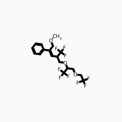 COCC(=CC(COC(COCC(F)(F)F)C(F)(F)F)C(F)(F)F)c1ccccc1